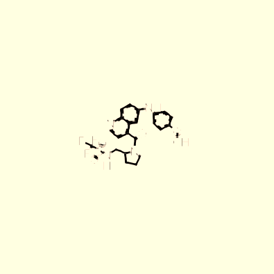 COc1ccc(Nc2ccc3nccc(C(=O)N4CCCC4CNS(=O)(=O)C(F)(F)F)c3c2)cc1